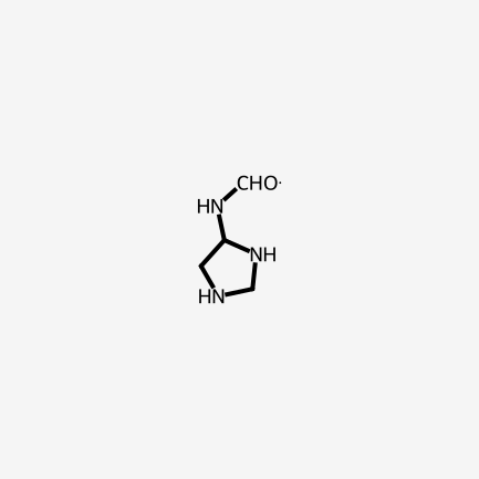 O=[C]NC1CNCN1